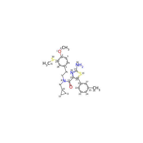 COc1ccc(CCN(CC2CC2)C(=O)c2nc(N)sc2-c2cccc(C)c2)cc1SC